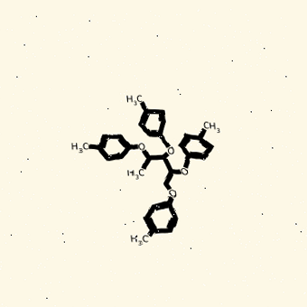 Cc1ccc(OCC(Oc2ccc(C)cc2)C(Oc2ccc(C)cc2)C(C)Oc2ccc(C)cc2)cc1